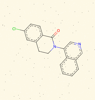 O=C1c2ccc(Cl)cc2CCN1c1cncc2ccccc12